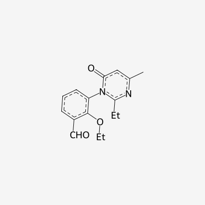 CCOc1c(C=O)cccc1-n1c(CC)nc(C)cc1=O